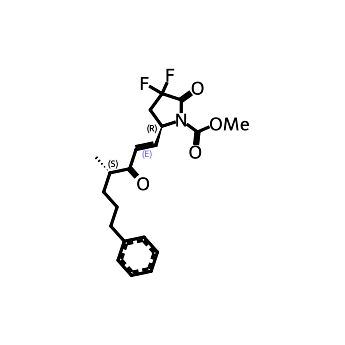 COC(=O)N1C(=O)C(F)(F)C[C@@H]1/C=C/C(=O)[C@@H](C)CCCc1ccccc1